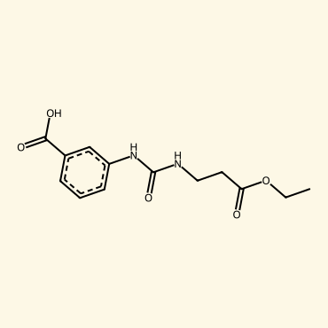 CCOC(=O)CCNC(=O)Nc1cccc(C(=O)O)c1